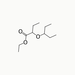 CCOC(=O)C(CC)OC(CC)CC